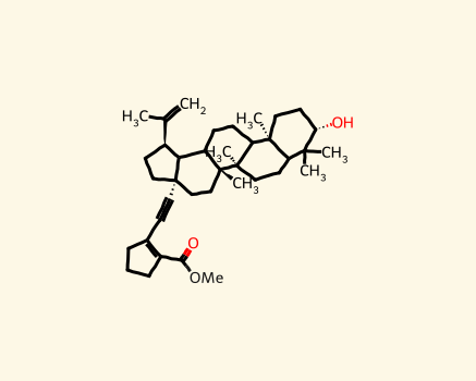 C=C(C)[C@@H]1CC[C@]2(C#CC3=C(C(=O)OC)CCC3)CC[C@]3(C)C(CCC4[C@@]5(C)CC[C@H](O)C(C)(C)C5CC[C@]43C)C12